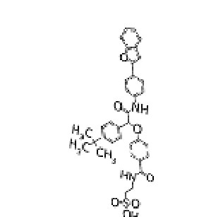 CC(C)(C)c1ccc(C(Oc2ccc(C(=O)NCCS(=O)(=O)O)cc2)C(=O)Nc2ccc(-c3cc4ccccc4o3)cc2)cc1